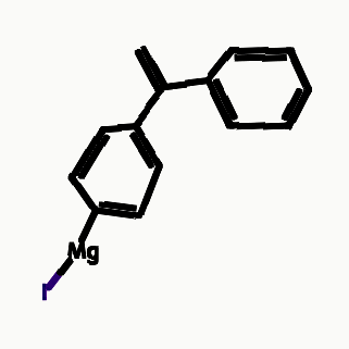 C=C(c1ccccc1)c1cc[c]([Mg][I])cc1